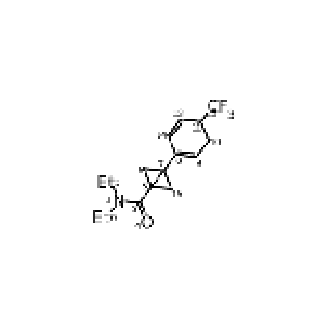 CCN(CC)C(=O)C12CC1(C1=CCC(C(F)(F)F)C=C1)C2